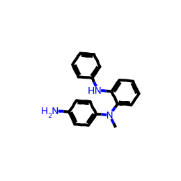 CN(c1ccc(N)cc1)c1ccccc1Nc1ccccc1